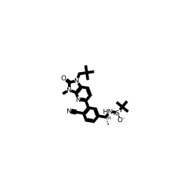 C[C@@H](N[S@@+]([O-])C(C)(C)C)c1ccc(C#N)c(-c2ccc3c(n2)n(C)c(=O)n3CC(C)(C)C)c1